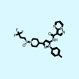 Cc1ccc(-n2nc(C3CCN([S+]([O-])CCC(F)(F)F)CC3)cc2NC(=O)c2cnn3cccnc23)cc1